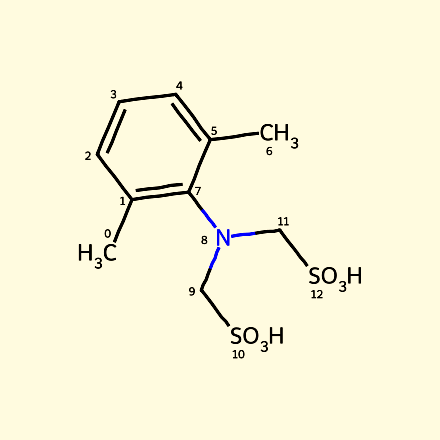 Cc1cccc(C)c1N(CS(=O)(=O)O)CS(=O)(=O)O